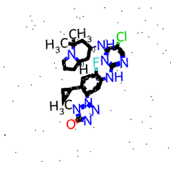 Cn1c(=O)nnn1-c1cc(Nc2ncc(Cl)c(N[C@@H]3C[C@@H]4CCCN4C(C)(C)C3)n2)c(F)cc1C1CC1